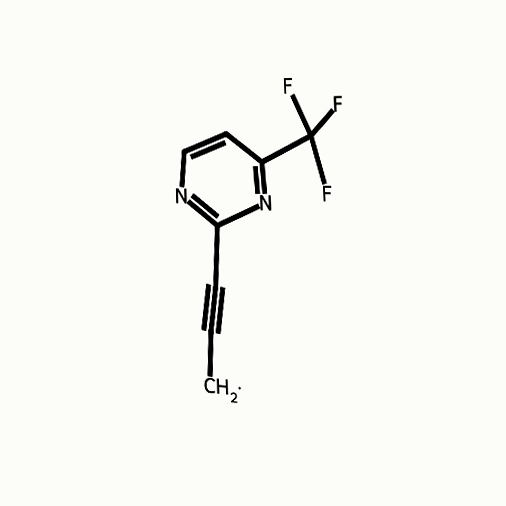 [CH2]C#Cc1nccc(C(F)(F)F)n1